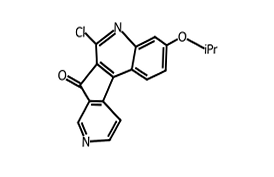 CC(C)Oc1ccc2c3c(c(Cl)nc2c1)C(=O)c1cnccc1-3